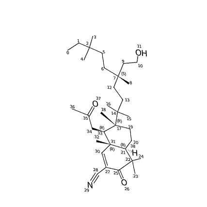 CCC(C)(C)CC[C@](C)(CCO)CCC(C)(C)[C@]1(C)CC[C@H]2C(C)(C)C(=O)C(C#N)=C[C@]2(C)[C@H]1CC(C)=O